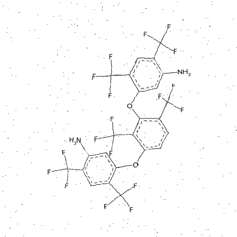 Nc1cc(Oc2ccc(C(F)(F)F)c(Oc3cc(N)c(C(F)(F)F)cc3C(F)(F)F)c2C(F)(F)F)c(C(F)(F)F)cc1C(F)(F)F